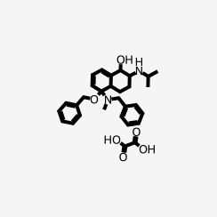 CC(C)NC1CCC2C(=CC=CC2(OCc2ccccc2)N(C)Cc2ccccc2)C1O.O=C(O)C(=O)O